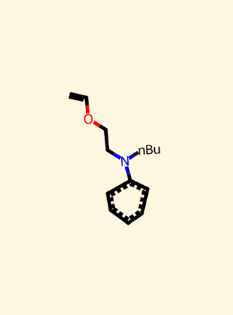 C=COCCN(CCCC)c1ccccc1